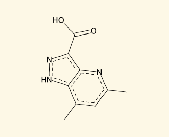 Cc1cc(C)c2[nH]nc(C(=O)O)c2n1